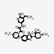 CCc1cc(NC(=O)C(=O)N2C[C@@H](C)CC[C@@H]2c2ccc3sc([C@@H]4CCN(C)CC4(C)C)nc3c2)cnc1N